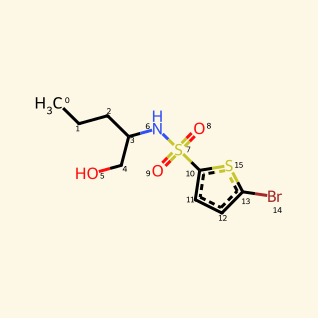 CCCC(CO)NS(=O)(=O)c1ccc(Br)s1